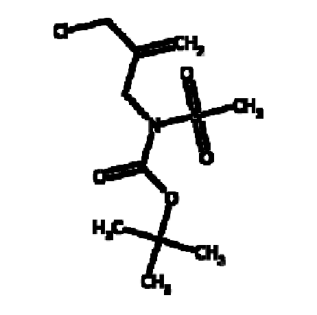 C=C(CCl)CN(C(=O)OC(C)(C)C)S(C)(=O)=O